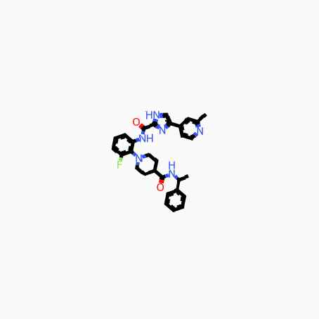 Cc1cc(-c2c[nH]c(C(=O)Nc3cccc(F)c3N3CCC(C(=O)NC(C)c4ccccc4)CC3)n2)ccn1